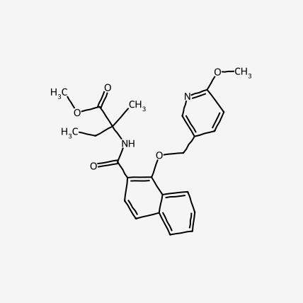 CCC(C)(NC(=O)c1ccc2ccccc2c1OCc1ccc(OC)nc1)C(=O)OC